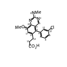 CNc1ncc2c(-c3cccc(Cl)c3)c(CCC(=O)O)cc(OC)c2n1